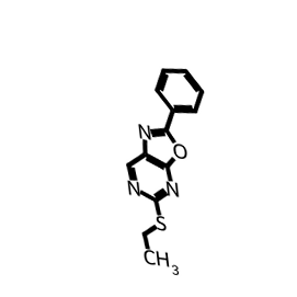 CCSc1ncc2nc(-c3ccccc3)oc2n1